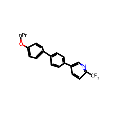 CCCOc1ccc(-c2ccc(-c3ccc(C(F)(F)F)nc3)cc2)cc1